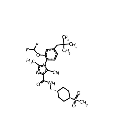 Cc1nc(C(=O)NC[C@H]2CC[C@H](S(C)(=O)=O)CC2)c(C#N)n1-c1ccc(CC(C)(C)C(F)(F)F)cc1OC(F)F